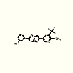 COc1cccc(-c2nn3cc(-c4cnc(N)c(C(F)(F)F)c4)nc3s2)c1